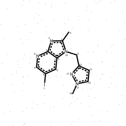 Cc1nc2ncc(I)cc2n1Cc1ccn(C)n1